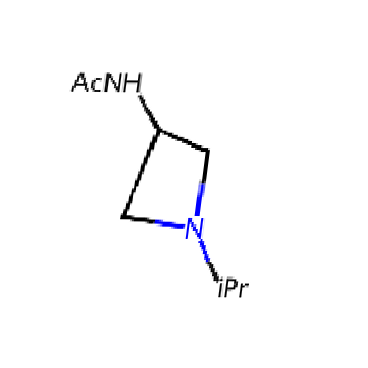 CC(=O)NC1CN(C(C)C)C1